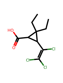 CCC1(CC)C(C(=O)O)C1C(Cl)=C(Cl)Cl